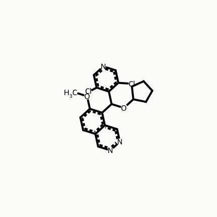 COc1ccc2cnncc2c1C(OC1CCCC1)c1c(Cl)cncc1Cl